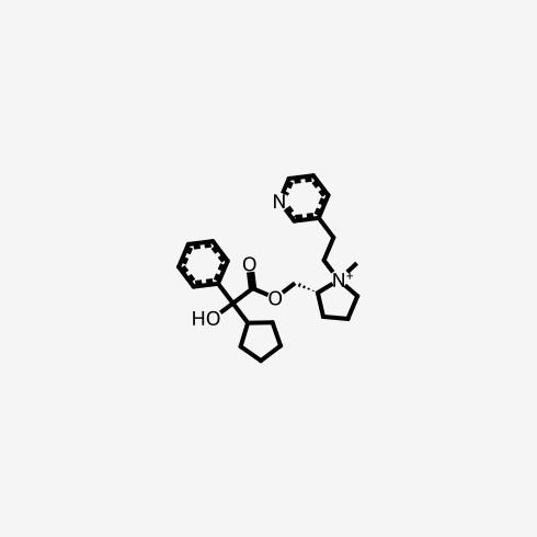 C[N+]1(CCc2cccnc2)CCC[C@@H]1COC(=O)C(O)(c1ccccc1)C1CCCC1